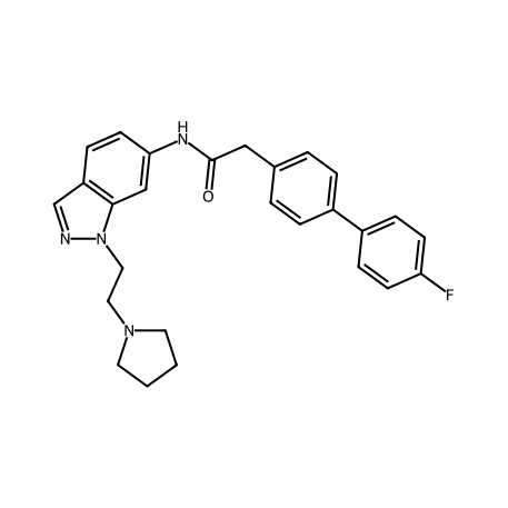 O=C(Cc1ccc(-c2ccc(F)cc2)cc1)Nc1ccc2cnn(CCN3CCCC3)c2c1